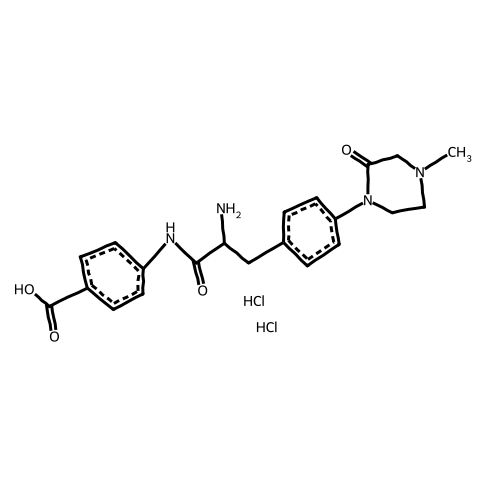 CN1CCN(c2ccc(CC(N)C(=O)Nc3ccc(C(=O)O)cc3)cc2)C(=O)C1.Cl.Cl